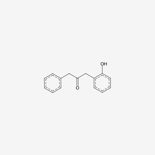 O=C(Cc1ccccc1)Cc1ccccc1O